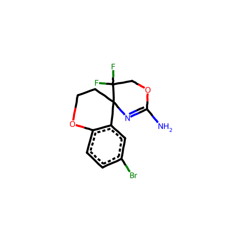 NC1=NC2(CCOc3ccc(Br)cc32)C(F)(F)CO1